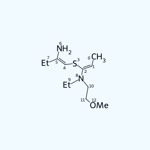 C/C=C(\S/C=C(\N)CC)N(CC)CCOC